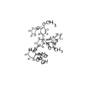 COc1ccc([C@]2(C#Cc3cccs3)CC[C@H](N)CC2N2C=NC(C)O2)cc1OC1CCCC1.O=S(=O)(O)NC1CCCCC1